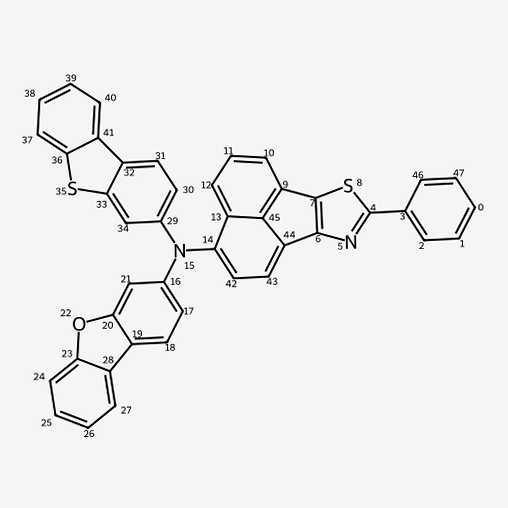 c1ccc(-c2nc3c(s2)-c2cccc4c(N(c5ccc6c(c5)oc5ccccc56)c5ccc6c(c5)sc5ccccc56)ccc-3c24)cc1